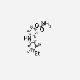 CCc1c(C)cc(NC2CCC(OC(N)=O)CC2)cc1C